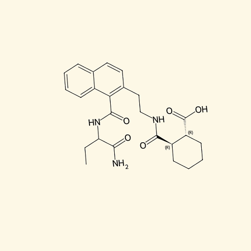 CCC(NC(=O)c1c(CCNC(=O)[C@@H]2CCCC[C@H]2C(=O)O)ccc2ccccc12)C(N)=O